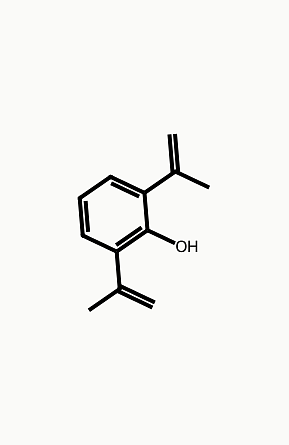 C=C(C)c1cccc(C(=C)C)c1O